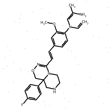 C=CN(/C=C(/C)N)c1ccc(/C=C/C2=NOCC3(c4ccc(F)cc4)CNCCN23)cc1OC